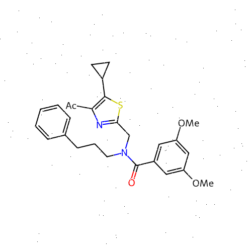 COc1cc(OC)cc(C(=O)N(CCCc2ccccc2)Cc2nc(C(C)=O)c(C3CC3)s2)c1